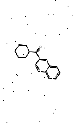 C=C(c1ccc2ccccc2c1)C1CCCCC1